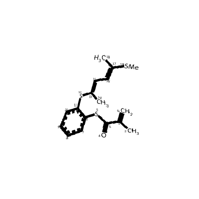 C=C(C)C(=O)Sc1ccccc1S/C(C)=C/C=C(\C)SC